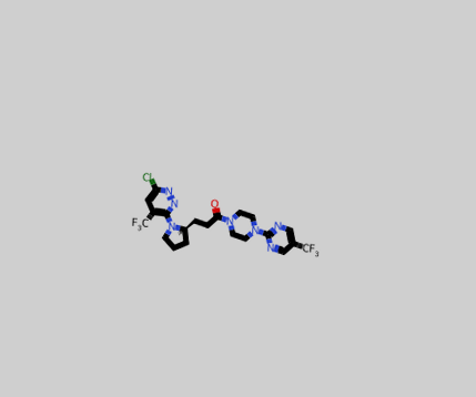 O=C(CC[C@H]1CCCN1c1nnc(Cl)cc1C(F)(F)F)N1CCN(c2ncc(C(F)(F)F)cn2)CC1